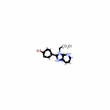 CCOC(=O)Cn1c(-c2ccc(Br)cc2)nc2cccnc21